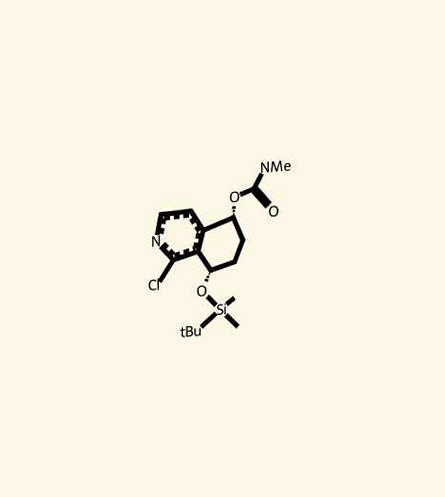 CNC(=O)O[C@@H]1CC[C@H](O[Si](C)(C)C(C)(C)C)c2c1ccnc2Cl